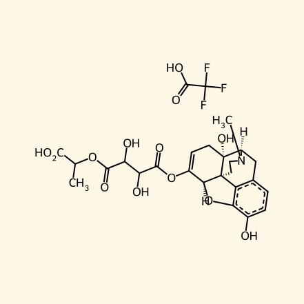 CC(OC(=O)C(O)C(O)C(=O)OC1=CC[C@@]2(O)[C@H]3Cc4ccc(O)c5c4[C@@]2(CCN3C)[C@H]1O5)C(=O)O.O=C(O)C(F)(F)F